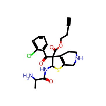 C#CCCOC(=O)C1(C(=O)c2ccccc2Cl)C2=C(CNCC2)SC1NC(=O)C(C)N